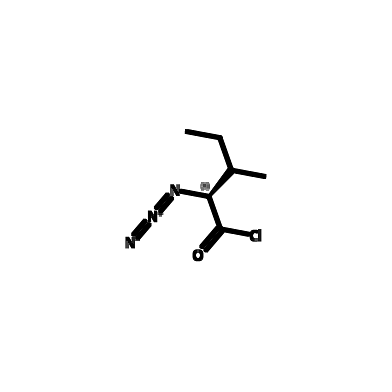 CCC(C)[C@H](N=[N+]=[N-])C(=O)Cl